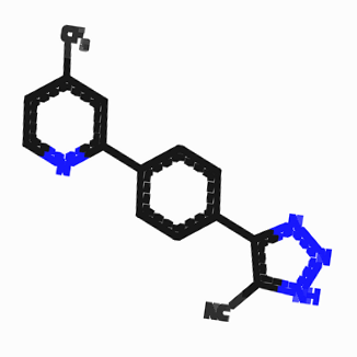 N#Cc1[nH]nnc1-c1ccc(-c2cc(C(F)(F)F)ccn2)cc1